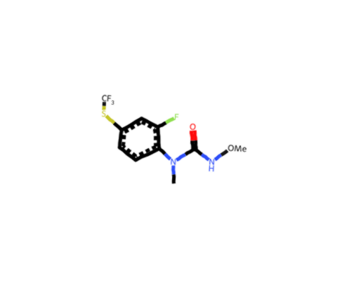 CONC(=O)N(C)c1ccc(SC(F)(F)F)cc1F